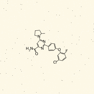 CC1CCCN1c1cc(C(N)=O)nc(-c2ccc(Oc3cc(Cl)ccc3F)cc2)n1